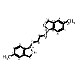 Cc1ccc2c(c1)COB2OCCOB1OCc2cc(C)ccc21